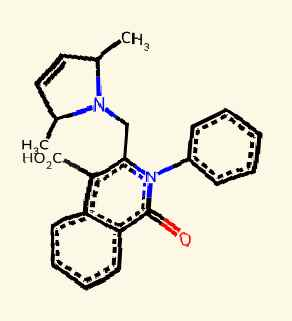 CC1C=CC(C)N1Cc1c(C(=O)O)c2ccccc2c(=O)n1-c1ccccc1